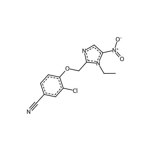 CCn1c([N+](=O)[O-])cnc1COc1ccc(C#N)cc1Cl